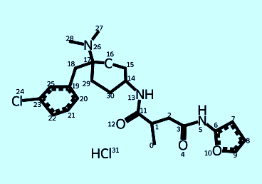 CC(CC(=O)Nc1ccco1)C(=O)NC1CCC(Cc2cccc(Cl)c2)(N(C)C)CC1.Cl